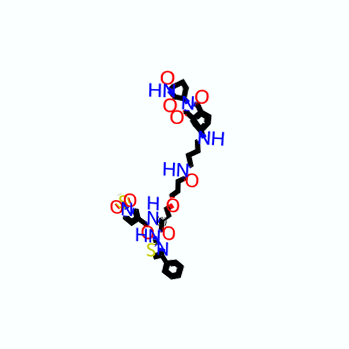 CS(=O)(=O)n1ccc(C(=O)N[C@@H](CCOCCCC(=O)NCCCCNc2ccc3c(c2)C(=O)N(C2CCC(=O)NC2=O)C3=O)C(=O)Nc2nc(-c3ccccc3)cs2)c1